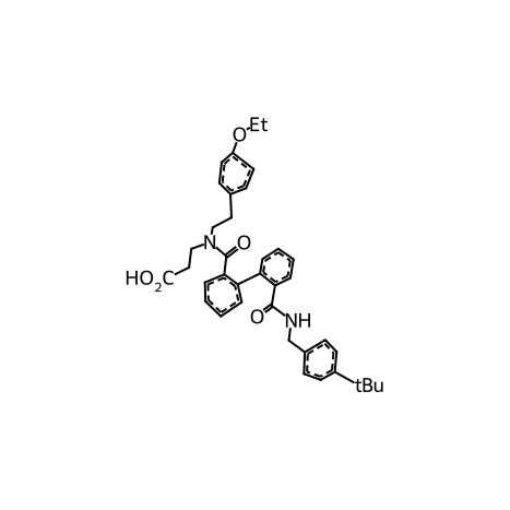 CCOc1ccc(CCN(CCC(=O)O)C(=O)c2ccccc2-c2ccccc2C(=O)NCc2ccc(C(C)(C)C)cc2)cc1